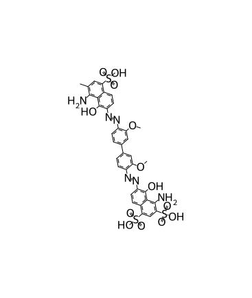 COc1cc(-c2ccc(/N=N/c3ccc4c(S(=O)(=O)O)cc(S(=O)(=O)O)c(N)c4c3O)c(OC)c2)ccc1/N=N/c1ccc2c(S(=O)(=O)O)cc(C)c(N)c2c1O